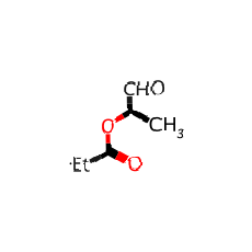 C[CH]C(=O)OC(C)C=O